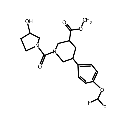 COC(=O)C1CC(c2ccc(OC(F)F)cc2)CN(C(=O)N2CCC(O)C2)C1